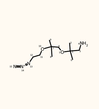 CC(C)(CN)OCC(C)(C)OCCN=[N+]=[N-]